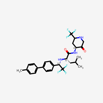 Cc1ccc(-c2ccc([C@H](N[C@@H](CC(C)C)C(=O)N[C@H]3CC(C(F)(F)F)NCC3=O)C(F)(F)F)cc2)cc1